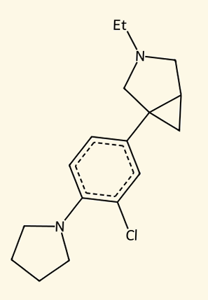 CCN1CC2CC2(c2ccc(N3CCCC3)c(Cl)c2)C1